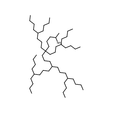 CCCCC(CCCC)CCCC(CCCC(CCCC)CCCC)CCCC(CCCC(C)N)(CCCC(CCCC)CCCC)CCCC(CCCC)CCCC